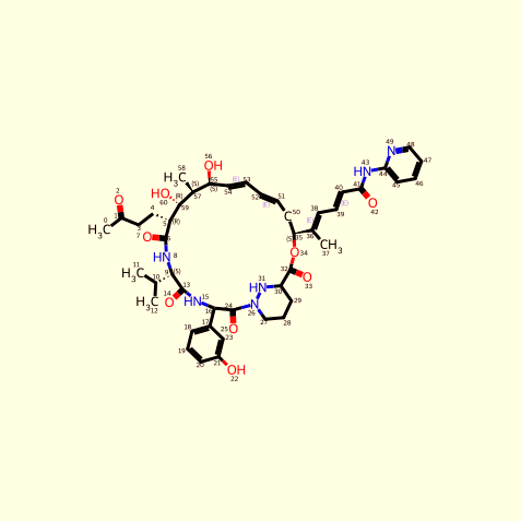 CC(=O)CC[C@H]1C(=O)N[C@@H](C(C)C)C(=O)NC(c2cccc(O)c2)C(=O)N2CCCC(N2)C(=O)O[C@H](/C(C)=C/C=C/C(=O)Nc2ccccn2)C/C=C/C=C/[C@H](O)[C@H](C)[C@H]1O